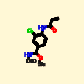 C=CC(=O)Nc1ccc(C(NC=O)OC(C)(C)C)cc1Cl